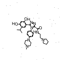 CC(C)c1cc(-c2nnc(C(=O)NCCN3CCCC3)n2-c2ccc(N3CCN(C)CC3)cc2)c(O)cc1O